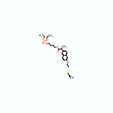 C#CCSSCCOc1ccc2cc(C(C)C(=O)OCCCCOP(=O)(OCC)OCC)ccc2c1